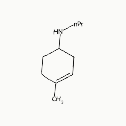 CCCNC1CC=C(C)CC1